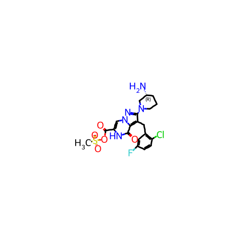 CS(=O)(=O)OC(=O)c1cn2nc(N3CCC[C@@H](N)C3)c(Cc3cc(F)ccc3Cl)c2c(=O)[nH]1